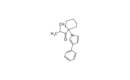 CC(C)C(=O)C1(n2ccc(-c3ccccc3)c2)CCCCC1